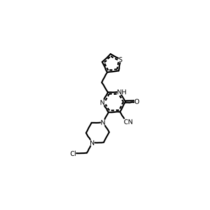 N#Cc1c(N2CCN(CCl)CC2)nc(Cc2ccsc2)[nH]c1=O